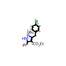 CCCCN1NC(C(C)C)C(C(=O)OCC)=C1Cc1ccc(Br)cc1